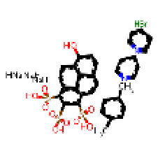 Br.Cc1ccc(C)cc1.O=S(=O)(O)c1c(S(=O)(=O)O)c2ccc3ccc(O)c4ccc(c1S(=O)(=O)O)c2c34.[NaH].[NaH].[NaH].c1ccncc1.c1ccncc1